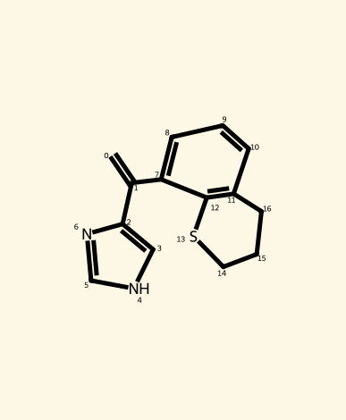 C=C(c1c[nH]cn1)c1cccc2c1SCCC2